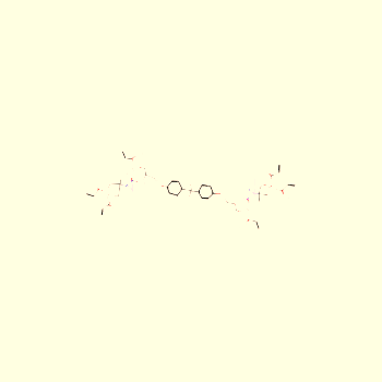 C=CC(=O)OCC(COc1ccc(C(C)(C)c2ccc(OCC(COC(=O)C=C)OC(=O)NC(C)(COC(=O)C=C)COC(=O)C=C)cc2)cc1)OC(=O)NC(C)(COC(=O)C=C)COC(=O)C=C